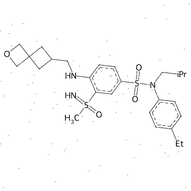 CCc1ccc(N(CC(C)C)S(=O)(=O)c2ccc(NCC3CC4(COC4)C3)c(S(C)(=N)=O)c2)cc1